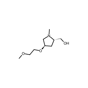 COCCO[C@@H]1C[C@@H](CO)N(C)C1